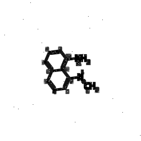 C=Nc1cccc2cccc(N)c12